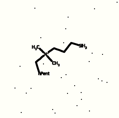 CCCCCC[N+](C)(C)CCC[SiH3]